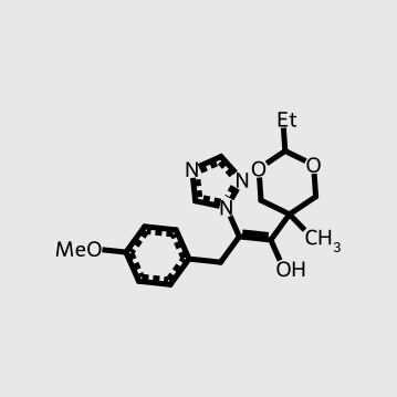 CCC1OCC(C)(C(O)=C(Cc2ccc(OC)cc2)n2cncn2)CO1